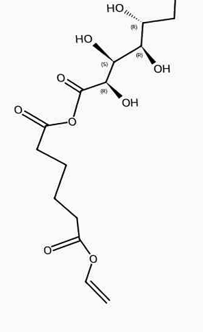 C=COC(=O)CCCCC(=O)OC(=O)[C@H](O)[C@@H](O)[C@H](O)[C@H](O)CO